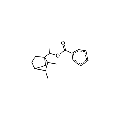 CC1C2CCC(C(C)OC(=O)c3ccccc3)(C2)C1C